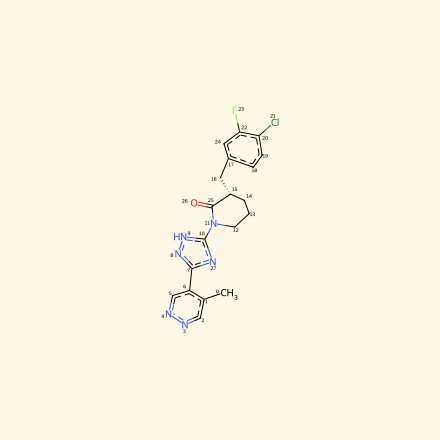 Cc1cnncc1-c1n[nH]c(N2CCC[C@@H](Cc3ccc(Cl)c(F)c3)C2=O)n1